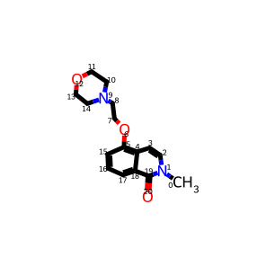 Cn1ccc2c(OCCN3CCOCC3)cccc2c1=O